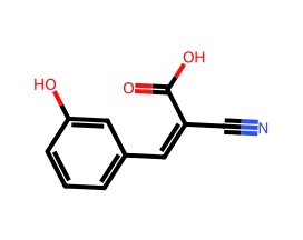 N#C/C(=C/c1cccc(O)c1)C(=O)O